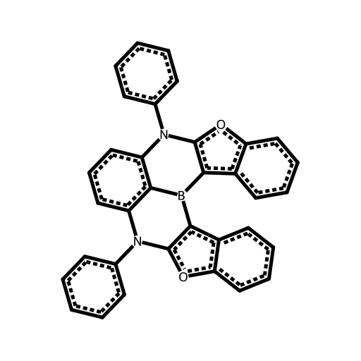 c1ccc(N2c3cccc4c3B(c3c2oc2ccccc32)c2c(oc3ccccc23)N4c2ccccc2)cc1